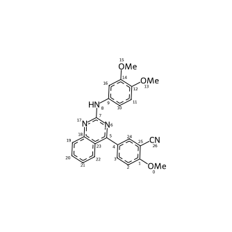 COc1ccc(-c2nc(Nc3ccc(OC)c(OC)c3)nc3ccccc23)cc1C#N